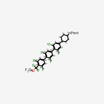 CCCCCC1CCC(c2cc(F)c(-c3cc(F)c(-c4cc(F)c(C(F)(F)OC(F)(F)F)c(F)c4)c(F)c3)c(F)c2)CC1